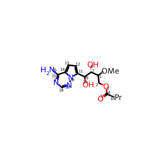 COC(COC(=O)C(C)C)[C@@H](O)C(O)c1ccc2c(N)ncnn12